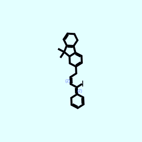 CC1(C)C2=C(CCC=C2)C2=CC=C(C/C=C\C(I)=C3\C=CC=CC3)CC21